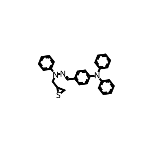 C(=N\N(CC1CS1)c1ccccc1)/c1ccc(N(c2ccccc2)c2ccccc2)cc1